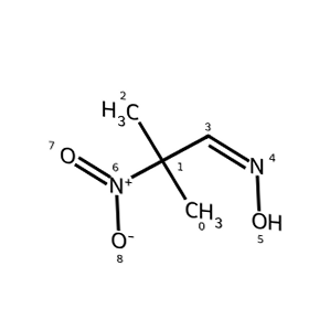 CC(C)(/C=N\O)[N+](=O)[O-]